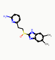 Cc1cc2nc([S+]([O-])CCc3cccc(N)n3)[nH]c2cc1C